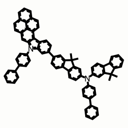 CC1(C)c2ccccc2-c2ccc(N(c3ccc(-c4ccccc4)cc3)c3ccc4c(c3)C(C)(C)c3cc(-c5ccc6c7c8ccc9cccc%10ccc(cc7n(-c7ccc(-c%11ccccc%11)cc7)c6c5)c8c%109)ccc3-4)cc21